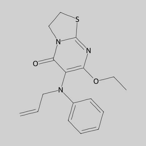 C=CCN(c1ccccc1)c1c(OCC)nc2n(c1=O)CCS2